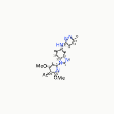 COc1cc(-n2cnc3cc(Nc4ccc(C)nn4)ccc32)nc(OC)c1C(C)=O